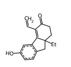 C=CC1=C2c3cc(O)ccc3CC2(CC)CCC1=O